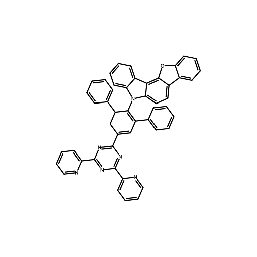 C1=C(c2nc(-c3ccccn3)nc(-c3ccccn3)n2)CC(c2ccccc2)C(n2c3ccccc3c3c4oc5ccccc5c4ccc32)=C1c1ccccc1